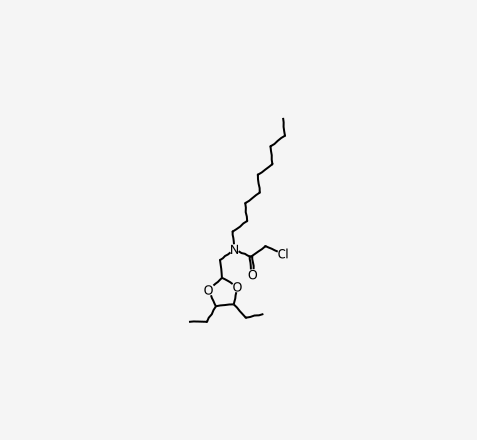 CCCCCCCCCN(CC1OC(CC)C(CC)O1)C(=O)CCl